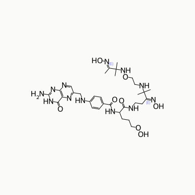 C/C(=N\O)C(C)(C)NOCCNC(C)(C)/C(CCNC(=O)C(CCCOO)NC(=O)c1ccc(NCc2cnc3nc(N)[nH]c(=O)c3n2)cc1)=N/O